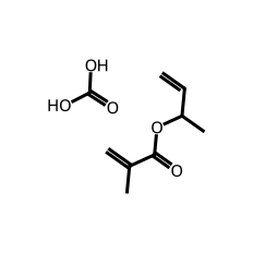 C=CC(C)OC(=O)C(=C)C.O=C(O)O